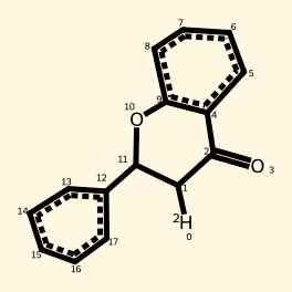 [2H]C1C(=O)c2ccccc2OC1c1ccccc1